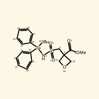 COC(=O)C1(CS(=O)(=O)N[Si](c2ccccc2)(c2ccccc2)C(C)(C)C)COC1